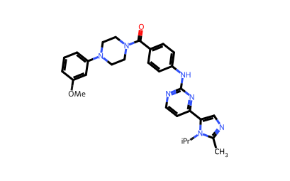 COc1cccc(N2CCN(C(=O)c3ccc(Nc4nccc(-c5cnc(C)n5C(C)C)n4)cc3)CC2)c1